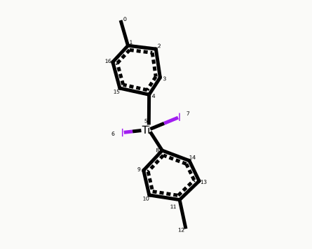 Cc1cc[c]([Ti]([I])([I])[c]2ccc(C)cc2)cc1